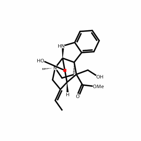 C/C=C1/C[N@+]2(C)CC[C@@]34c5ccccc5N[C@]32C(O)C[C@@H]1C4(CO)C(=O)OC